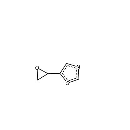 c1ncc(C2CO2)s1